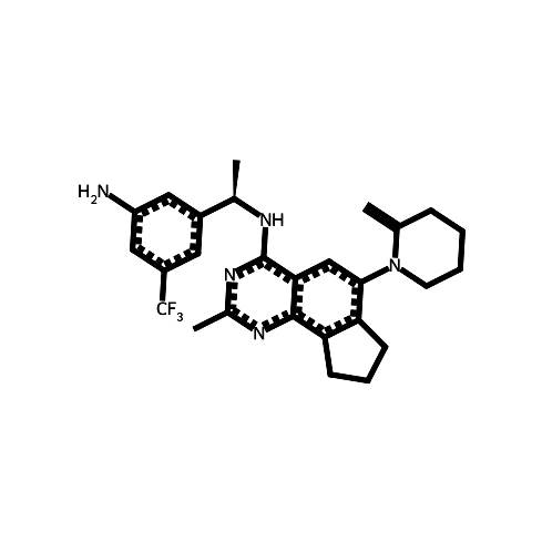 C=C1CCCCN1c1cc2c(N[C@H](C)c3cc(N)cc(C(F)(F)F)c3)nc(C)nc2c2c1CCC2